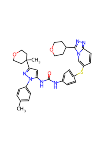 Cc1ccc(-n2nc(C3(C)CCOCC3)cc2NC(=O)Nc2ccc(Sc3ccc4nnc(C5CCOCC5)n4c3)cc2)cc1